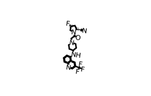 N#C[C@@H]1C[C@H](F)CN1C(=O)CN1CCC(Nc2cccc3ncc(C(F)(F)F)cc23)CC1